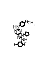 COc1ccc(Nc2ncc3nc(Nc4cc(F)ccc4F)n(C4CCCC4)c3n2)cc1